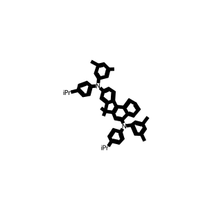 Cc1cc(C)cc(N(c2ccc(C(C)C)cc2)c2ccc3c(c2)C(C)(C)c2cc(N(c4ccc(C(C)C)cc4)c4cc(C)cc(C)c4)c4ccccc4c2-3)c1